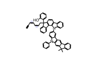 C#C/C=C\C=C/CC1(c2ccccc2O)c2ccccc2-c2c1ccc1c3ccccc3n(-c3ccc4c(c3)c3cc5c(cc3n4-c3ccccc3)C(C)(C)c3ccccc3-5)c21